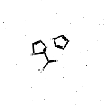 NC(=O)c1ncc[nH]1.c1cc[nH]c1